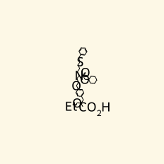 CCOC(Cc1ccc(OCCN(CCCSCc2ccccc2)C(=O)OC2CCCCC2)cc1)C(=O)O